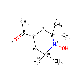 CC(=O)C1CC(C)(C)N(O)C(C)(C)C1